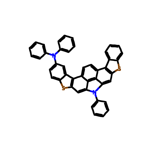 c1ccc(N(c2ccccc2)c2ccc3sc4cc5c6c(ccc7c8c(cc(c76)n5-c5ccccc5)sc5ccccc58)c4c3c2)cc1